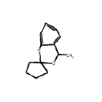 [CH2]C1OC2(CCCC2)Oc2ccccc21